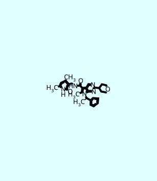 Cc1cc(C)c(CNC(=O)c2c(C)n([C@H](C)c3ccccc3)c3nc(C4CCOCC4)ncc23)c(=O)[nH]1